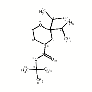 CC(C)C1(C(C)C)CN(C(=O)OC(C)(C)C)CCO1